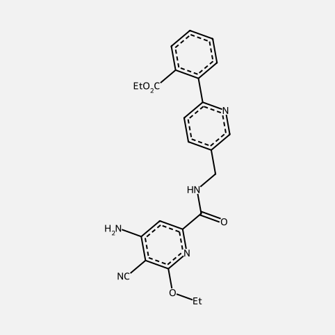 CCOC(=O)c1ccccc1-c1ccc(CNC(=O)c2cc(N)c(C#N)c(OCC)n2)cn1